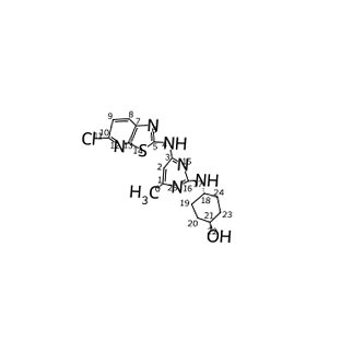 Cc1cc(Nc2nc3ccc(Cl)nc3s2)nc(N[C@H]2CC[C@H](O)CC2)n1